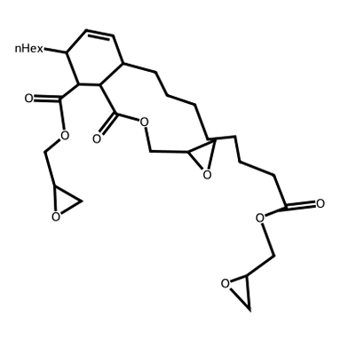 CCCCCCC1C=CC(CCCCCCCC(=O)OCC2CO2)C(C(=O)OCC2CO2)C1C(=O)OCC1CO1